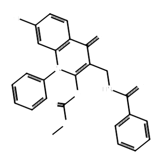 COC(=O)Oc1c(CNC(=O)c2ccccc2)c(=O)c2ccc(Cl)cc2n1-c1ccccc1